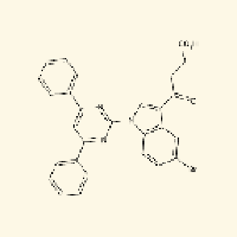 O=C(O)CCC(=O)c1cn(-c2nc(-c3ccccc3)cc(-c3ccccc3)n2)c2ccc(Br)cc12